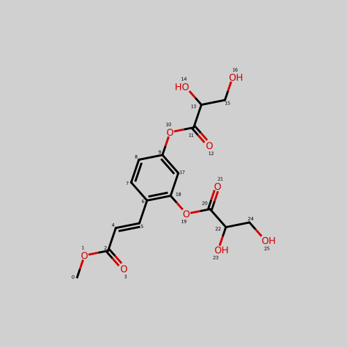 COC(=O)C=Cc1ccc(OC(=O)C(O)CO)cc1OC(=O)C(O)CO